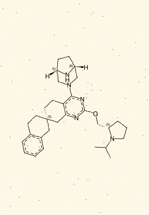 CC(C)N1CCC[C@H]1COc1nc2c(c(N3C[C@H]4CC[C@@H](C3)N4)n1)CC[C@]1(CCc3ccccc3C1)C2